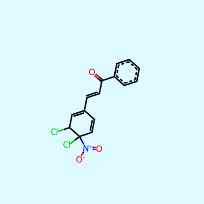 O=C(/C=C/C1=CC(Cl)C(Cl)([N+](=O)[O-])C=C1)c1ccccc1